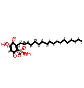 CCCCCCCCCCCCCCCCCCC1=C(S(=O)(=O)O)C(=O)C=C(O)C1=O